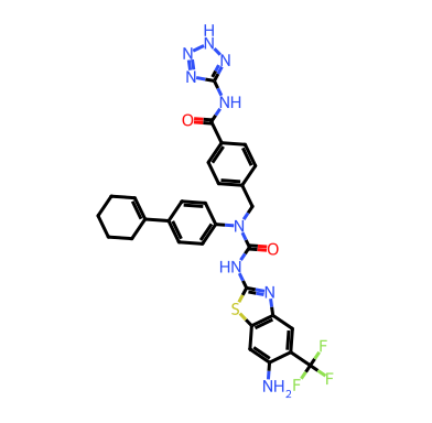 Nc1cc2sc(NC(=O)N(Cc3ccc(C(=O)Nc4nn[nH]n4)cc3)c3ccc(C4=CCCCC4)cc3)nc2cc1C(F)(F)F